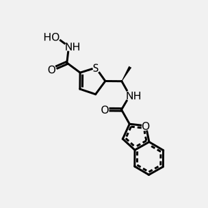 C[C@@H](NC(=O)c1cc2ccccc2o1)C1CC=C(C(=O)NO)S1